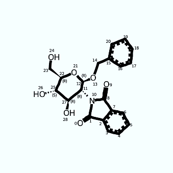 O=C1c2ccccc2C(=O)N1[C@H]1[C@H](OCc2ccccc2)O[C@H](CO)[C@@H](O)[C@@H]1O